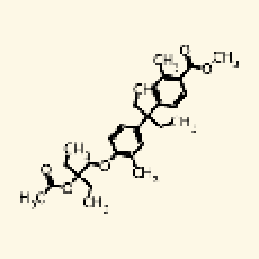 CCC(CC)(COc1ccc(C(CC)(CC)c2ccc(C(=O)OC)c(C)c2)cc1C)OC(C)=O